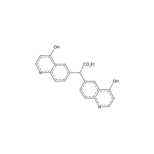 CCOC(=O)C(c1ccc2nccc(O)c2c1)c1ccc2nccc(O)c2c1